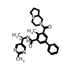 Cc1ncc([C@@H](C)NC(=O)c2cc(-c3ccccc3)cc(C(=O)N3CCN4CCCC4C3)c2C)cn1